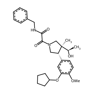 COc1ccc([C@@H]2CN(C(=O)C(=O)NCc3ccccc3)C[C@@]2(C)[C@@H](C)O)cc1OC1CCCC1